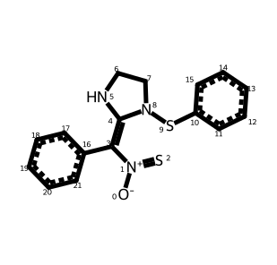 [O-][N+](=S)C(=C1NCCN1Sc1ccccc1)c1ccccc1